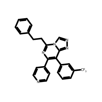 FC(F)(F)c1cccc(-c2c(-c3ccncc3)nc(CCc3ccccc3)n3cnnc23)c1